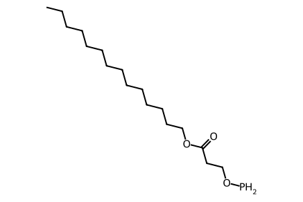 CCCCCCCCCCCCCCOC(=O)CCOP